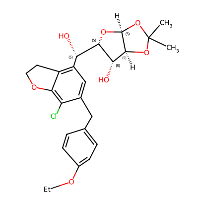 CCOc1ccc(Cc2cc([C@H](O)[C@@H]3O[C@H]4OC(C)(C)O[C@H]4[C@@H]3O)c3c(c2Cl)OCC3)cc1